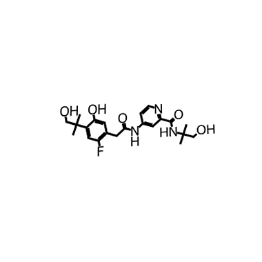 CC(C)(CO)NC(=O)c1cc(NC(=O)Cc2cc(O)c(C(C)(C)CO)cc2F)ccn1